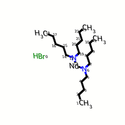 Br.CCCCC[N](CCCCC)[Nd][N](CCCCC)CCCCC